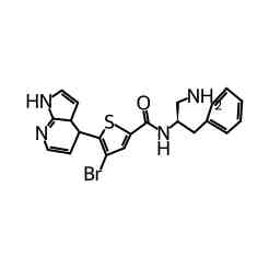 NC[C@@H](Cc1ccccc1)NC(=O)c1cc(Br)c(C2C=CN=C3NC=CC32)s1